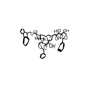 O=C(NCCCN(C[C@H](O)[C@@H](O)[C@@H]1OC(c2ccccc2)OC[C@H]1O)C[C@H](O)[C@@H](O)[C@@H]1OC(c2ccccc2)OC[C@H]1O)OCC1c2ccccc2-c2ccccc21